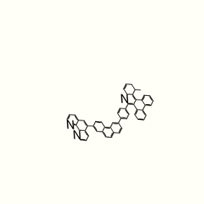 CC1CC=Cc2nc(-c3ccc(-c4ccc5ccc6cc(-c7cc8cccnc8c8ncccc78)ccc6c5c4)cc3)c3c4ccccc4c4ccccc4c3c21